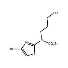 CCOC(=O)N(CCCO)c1nc(Br)cs1